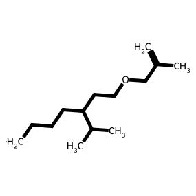 [CH2]CCCC(CCOCC(=C)C)[C](C)C